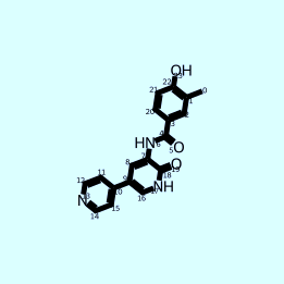 Cc1cc(C(=O)Nc2cc(-c3ccncc3)c[nH]c2=O)ccc1O